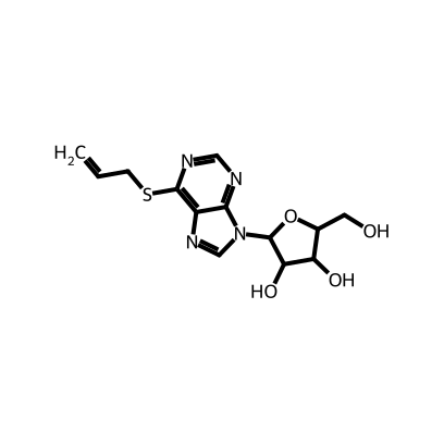 C=CCSc1ncnc2c1ncn2C1OC(CO)C(O)C1O